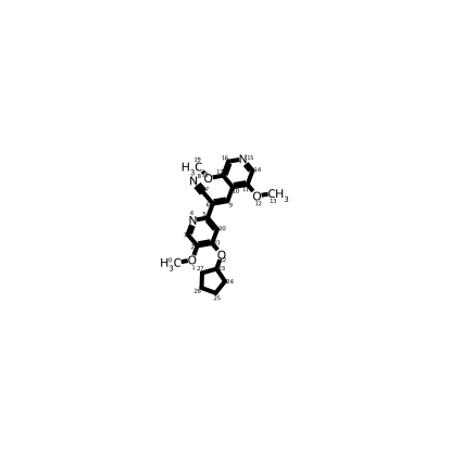 COc1cnc(C(C#N)=Cc2c(OC)cncc2OC)cc1OC1CCCC1